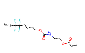 C=CC(=O)OCCNC(=O)OCCCCC(F)(F)C(F)(F)S(=O)(=O)O